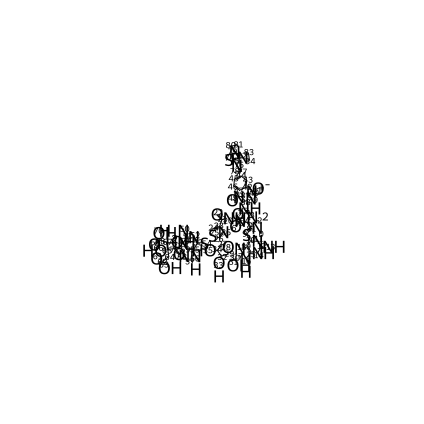 Cn1cnc([N+](=O)[O-])c1Sc1nc(=N)[nH]c2[nH]cnc12.NC(=O)c1csc([C@@H]2O[C@H](CO)[C@@H](O)[C@H]2O)n1.Nc1n[n+]([O-])c2ccccc2[n+]1[O-].Nc1nc(=S)c2[nH]cnc2[nH]1.O=C(O)CC(O)(CC(=O)O)C(=O)O.S=P(N1CC1)(N1CC1)N1CC1